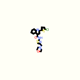 O=C(Nc1nc(CN2CCOCC2)cs1)c1cc(-c2ccc(Cl)s2)nc2ccccc12